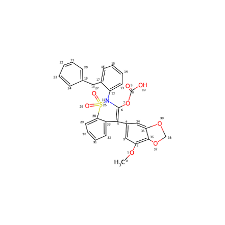 COc1cc(C2=C(OC(=O)O)N(c3ccccc3Cc3ccccc3)S(=O)(=O)c3ccccc32)cc2c1OCO2